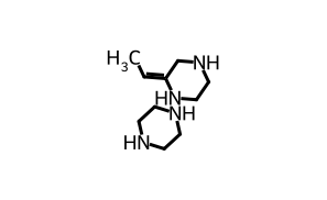 C1CNCCN1.CC=C1CNCCN1